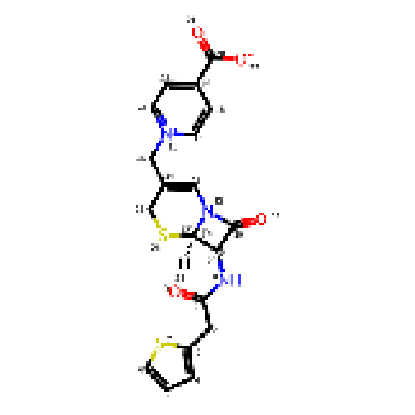 O=C(Cc1cccs1)N[C@@H]1C(=O)N2C=C(C[n+]3ccc(C(=O)[O-])cc3)CS[C@H]12